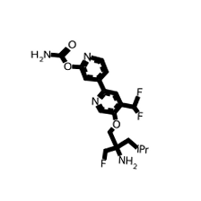 CC(C)CC(N)(CF)COc1cnc(-c2ccnc(OC(N)=O)c2)cc1C(F)F